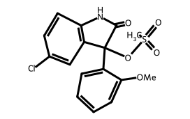 COc1ccccc1C1(OS(C)(=O)=O)C(=O)Nc2ccc(Cl)cc21